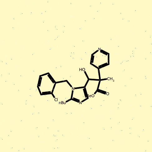 CCCCc1ncc(C(O)C(C)(C(=O)OC)c2ccncc2)n1Cc1ccccc1Cl